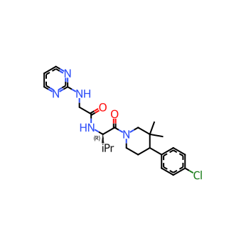 CC(C)[C@@H](NC(=O)CNc1ncccn1)C(=O)N1CCC(c2ccc(Cl)cc2)C(C)(C)C1